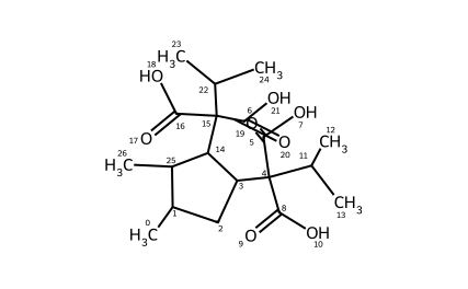 CC1CC(C(C(=O)O)(C(=O)O)C(C)C)C(C(C(=O)O)(C(=O)O)C(C)C)C1C